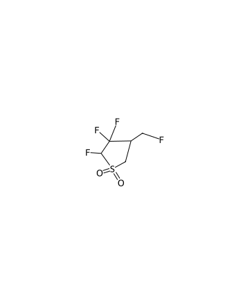 O=S1(=O)CC(CF)C(F)(F)C1F